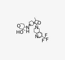 CC(C)[C@]1(C(=O)N2CCc3ncc(C(F)(F)F)cc3C2)CC[C@@H](NC2CCOCC2(C)O)C1